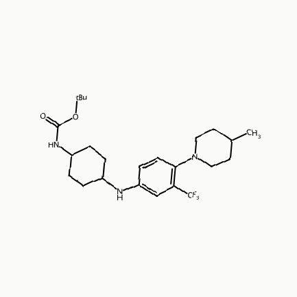 CC1CCN(c2ccc(NC3CCC(NC(=O)OC(C)(C)C)CC3)cc2C(F)(F)F)CC1